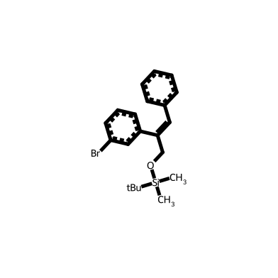 CC(C)(C)[Si](C)(C)OCC(=Cc1ccccc1)c1cccc(Br)c1